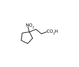 O=C(O)CCC1([N+](=O)[O-])CCCC1